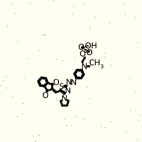 CCN(CCOS(=O)(=O)O)c1ccc(/N=N/c2nc(N3CCCC3)c(C=C3C(=O)c4ccccc4C3=O)s2)cc1